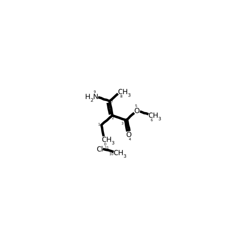 CCC(C(=O)OC)=C(C)N.CCl